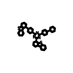 c1ccc(-c2ccc(-c3nc(-c4ccc(-c5cccc6sc7ccccc7c56)cc4)nc(-c4cccc5c4sc4ccccc45)n3)cc2)cc1